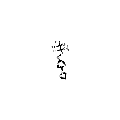 CC(C)(O)C(C)(C)OBc1cnc(-n2cccn2)cn1